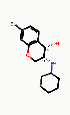 CCc1ccc2c(c1)OC[C@@H](NC1CCCCC1)[C@H]2O